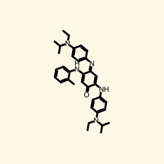 CCN(c1ccc(/N=C2/C=C(Nc3ccc(N(CC)C(C)C)cc3)C(=O)C=C2Nc2ccccc2C)cc1)C(C)C